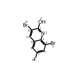 Oc1nc2c(Br)cc(F)cc2cc1Br